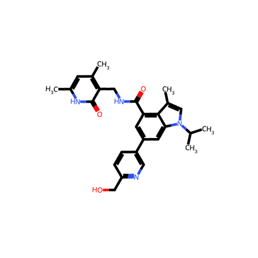 Cc1cc(C)c(CNC(=O)c2cc(-c3ccc(CO)nc3)cc3c2c(C)cn3C(C)C)c(=O)[nH]1